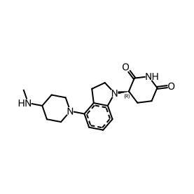 CNC1CCN(c2cccc3c2CCN3[C@@H]2CCC(=O)NC2=O)CC1